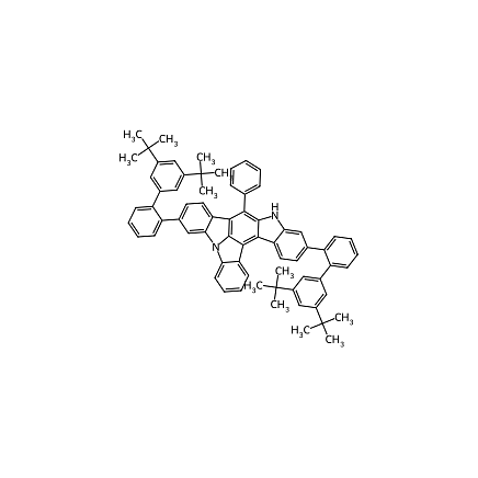 CC(C)(C)c1cc(-c2ccccc2-c2ccc3c(c2)[nH]c2c(-c4ccccc4)c4c5ccc(-c6ccccc6-c6cc(C(C)(C)C)cc(C(C)(C)C)c6)cc5n5c6ccccc6c(c23)c45)cc(C(C)(C)C)c1